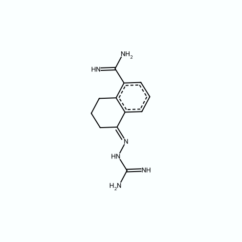 N=C(N)NN=C1CCCc2c(C(=N)N)cccc21